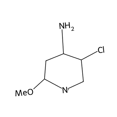 COC1CC(N)C(Cl)C[N]1